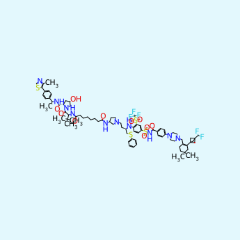 Cc1ncsc1-c1ccc([C@H](C)NC(=O)[C@@H]2C[C@@H](O)CN2C(=O)[C@@H](NC(=O)CCCCCCC(=O)N[C@H]2CCN(CC[C@H](CSc3ccccc3)Nc3ccc(S(=O)(=O)NC(=O)c4ccc(N5CCN(CC6=C(C78CC(C(F)F)(C7)C8)CC(C)(C)CC6)CC5)cc4)cc3S(=O)(=O)C(F)(F)F)C2)C(C)(C)C)cc1